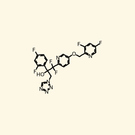 OC(Cn1cnnn1)(c1ccc(F)cc1F)C(F)(F)c1ccc(OCc2ncc(F)cc2F)cn1